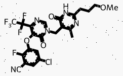 COCCCc1nc(C)c(Cn2cnc(C(F)(F)C(F)(F)F)c(Oc3cc(Cl)cc(C#N)c3F)c2=O)c(=O)[nH]1